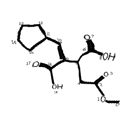 COC(=O)CC(C(=O)O)C(=CC1CCCC1)C(=O)O